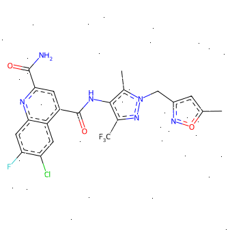 Cc1cc(Cn2nc(C(F)(F)F)c(NC(=O)c3cc(C(N)=O)nc4cc(F)c(Cl)cc34)c2C)no1